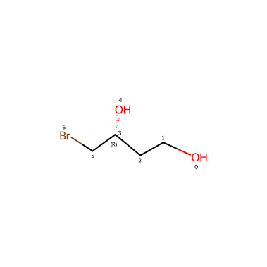 OCC[C@@H](O)CBr